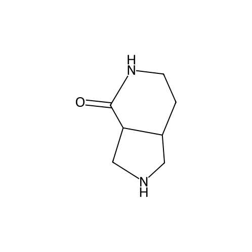 O=C1NCCC2CNCC12